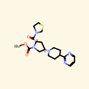 CC(C)(C)OC(=O)N1C[C@@H](N2CCC(c3ncccn3)CC2)C[C@H]1C(=O)N1CCSC1